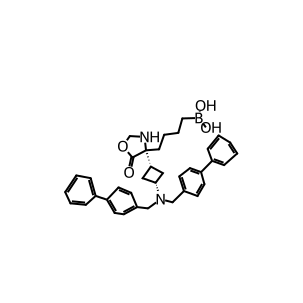 O=C1OCNC1(CCCCB(O)O)[C@H]1C[C@@H](N(Cc2ccc(-c3ccccc3)cc2)Cc2ccc(-c3ccccc3)cc2)C1